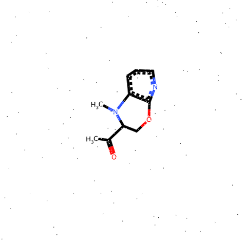 CC(=O)C1COc2ncccc2N1C